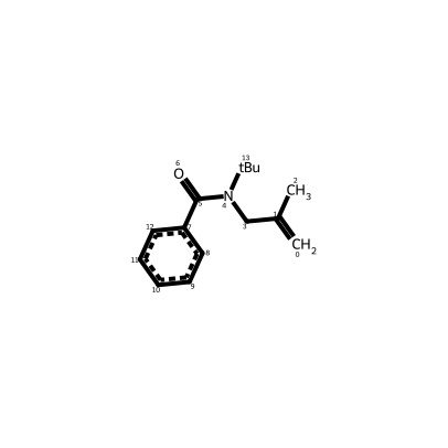 C=C(C)CN(C(=O)c1ccccc1)C(C)(C)C